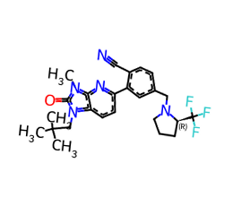 Cn1c(=O)n(CC(C)(C)C)c2ccc(-c3cc(CN4CCC[C@@H]4C(F)(F)F)ccc3C#N)nc21